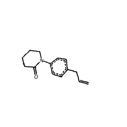 C=CCc1ccc(N2CCCCC2=O)cc1